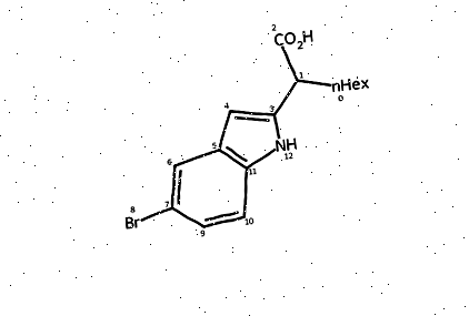 CCCCCCC(C(=O)O)c1cc2cc(Br)ccc2[nH]1